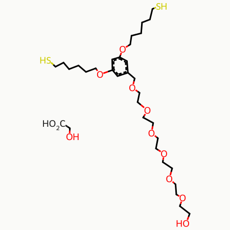 O=C(O)CO.OCCOCCOCCOCCOCCOCCOCc1cc(OCCCCCCS)cc(OCCCCCCS)c1